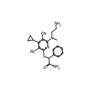 CN(CCN)c1nc(SC(C(N)=O)c2ccccc2)c(C#N)c(C2CC2)c1C#N